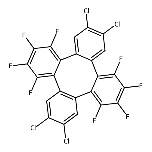 Fc1c(F)c(F)c2c(c1F)-c1cc(Cl)c(Cl)cc1-c1c(F)c(F)c(F)c(F)c1-c1cc(Cl)c(Cl)cc1-2